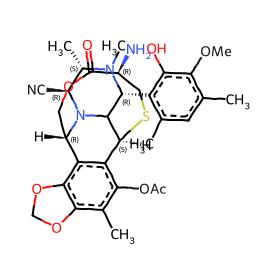 COc1c(C)cc(C)c([C@@H]2C3[C@H]4SC[C@H](N)C(=O)OC[C@@H](c5c6c(c(C)c(OC(C)=O)c54)OCO6)N3[C@@H](C#N)[C@H](C)N2C)c1O